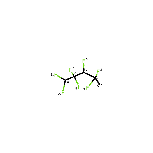 [CH2]C(F)(F)C(F)C(F)(F)C(F)F